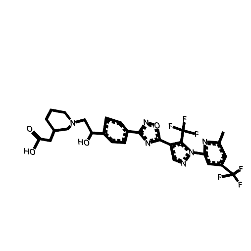 Cc1cc(C(F)(F)F)cc(-n2ncc(-c3nc(-c4ccc(C(O)CN5CCCC(CC(=O)O)C5)cc4)no3)c2C(F)(F)F)n1